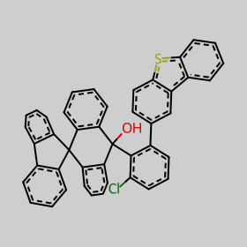 OC1(c2c(Cl)cccc2-c2ccc3sc4ccccc4c3c2)c2ccccc2C2(c3ccccc3-c3ccccc32)c2ccccc21